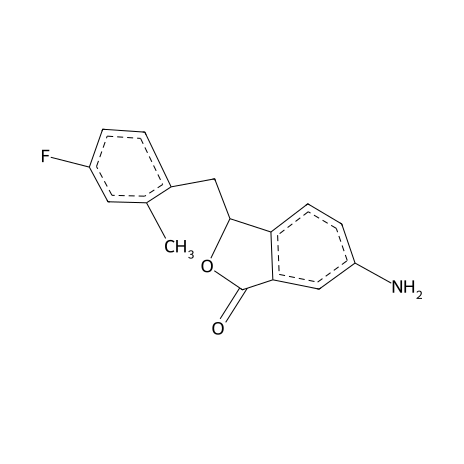 Cc1cc(F)ccc1CC1OC(=O)c2cc(N)ccc21